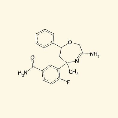 CC1(c2cc(C(N)=O)ccc2F)CC(c2ccccc2)OCC(N)=N1